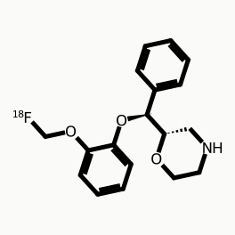 [18F]COc1ccccc1O[C@@H](c1ccccc1)[C@@H]1CNCCO1